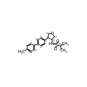 Cc1ccc(-c2ccc(C3COCC3NS(=O)(=O)C(C)C)cc2)cn1